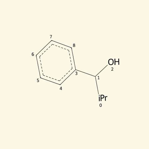 [CH2]C(C)C(O)c1ccccc1